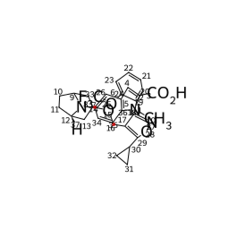 Cn1c(C(=O)O)cc2cc(N3C4CC[C@H]3CC(OCc3c(-c5ccccc5OC(F)(F)F)noc3C3CC3)C4)ccc21